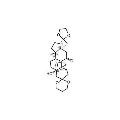 CC1([C@H]2CC[C@H]3[C@@H]4CC[C@@]5(O)CC6(CC[C@@]57C[C@@]47C(=O)C[C@]23C)OCCCO6)OCCO1